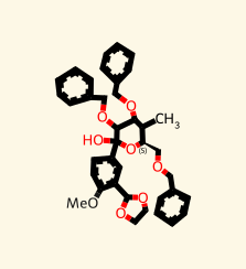 COc1ccc(C2(O)O[C@H](COCc3ccccc3)C(C)C(OCc3ccccc3)C2OCc2ccccc2)cc1C1OCCO1